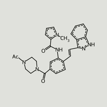 CC(=O)N1CCN(C(=O)c2ccc(C=Cc3n[nH]c4ccccc34)c(NC(=O)c3cccn3C)c2)CC1